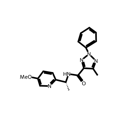 COc1ccc([C@@H](C)NC(=O)c2nn(-c3ccccc3)nc2C)nc1